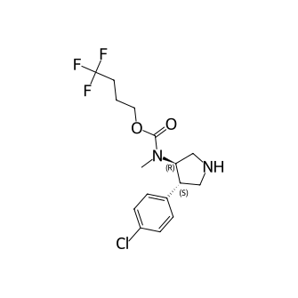 CN(C(=O)OCCCC(F)(F)F)[C@H]1CNC[C@@H]1c1ccc(Cl)cc1